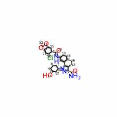 NC(=O)c1nn(-c2cccc(O)c2)c2c1CCc1ccc(NC(=O)c3cc4c(cc3Cl)OCO4)cc1-2